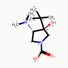 CN(C)[C@H]1CN(C(=O)O)C[C@@]1(O)C(C)(C)C